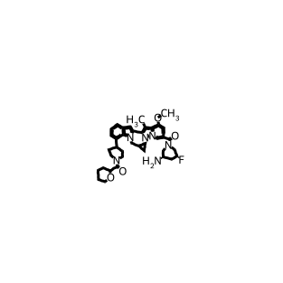 COc1cc(C(=O)N2C[C@H](N)C[C@@H](F)C2)cn2nc(-c3cc4cccc(C5CCN(C(=O)C6CCCCO6)CC5)c4n3CC3CC3)c(C)c12